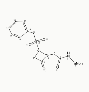 CCCCCCCCCNC(=O)CN1C(=O)CC1S(=O)(=O)Cc1ccccc1